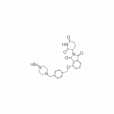 CCCCN1CCN(Cc2ccc(COc3cccc4c3C(=O)N(C3CCC(=O)NC3=O)C4=O)cc2)CC1